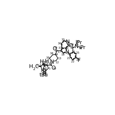 C=C1C[C@]2(C(C)(C)C)CC[C@H]1[C@@H](C(=O)N1CCC(C(=O)c3cn(-c4ccc(F)cc4C(=O)N(C(C)C)C(C)C)c4cnccc34)CC1)N2